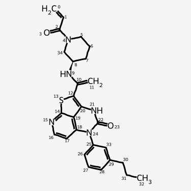 C=CC(=O)N1CCC[C@@H](NC(=C)c2sc3nccc4c3c2NC(=O)N4c2cccc(CCC)c2)C1